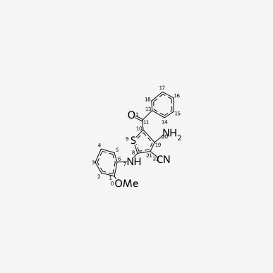 COc1ccccc1Nc1sc(C(=O)c2ccccc2)c(N)c1C#N